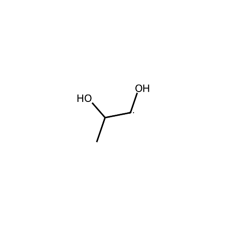 CC(O)[CH]O